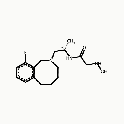 C[C@@H](CN1CCCCc2cccc(F)c2C1)NC(=O)CNO